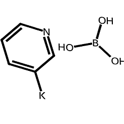 OB(O)O.[K][c]1cccnc1